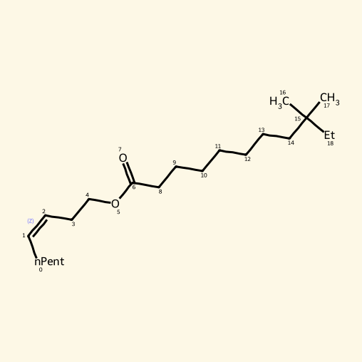 CCCCC/C=C\CCOC(=O)CCCCCCCC(C)(C)CC